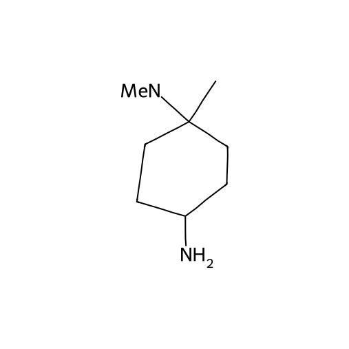 CNC1(C)CCC(N)CC1